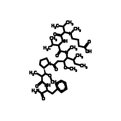 CCC(C)C(C(CC(=O)N1CCC[C@H]1C(OC)C(C)C(=O)NC(Cc1ccccc1)C(N)=O)OC)N(C)C(=O)C(NC(=O)C(C(C)C)N(C)CCCC(=O)O)C(C)C